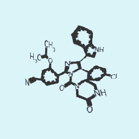 CC(C)Oc1cc(C#N)ccc1C1=N[C@@H](c2c[nH]c3ccccc23)[C@@H](c2ccc(Cl)cc2)N1C(=O)N1CCNC(=O)C1